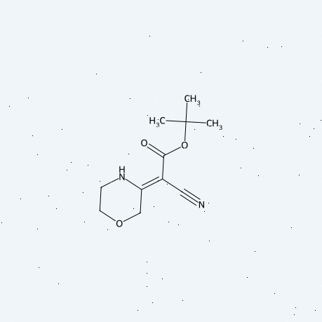 CC(C)(C)OC(=O)/C(C#N)=C1/COCCN1